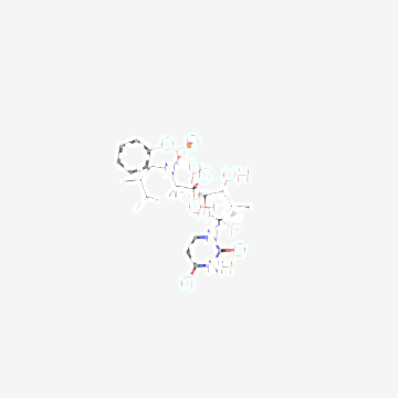 CC(C)C(C)CN([C@H](C)C(=O)O)[P@@](=O)(OC[C@H]1O[C@@](F)(n2ccc(=O)[nH]c2=O)[C@H](C)[C@@H]1O)Oc1ccccc1